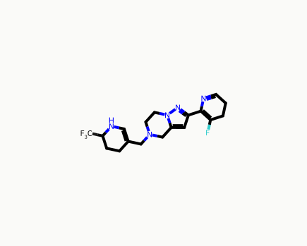 FC1=C(c2cc3n(n2)CCN(CC2=CNC(C(F)(F)F)CC2)C3)N=CCC1